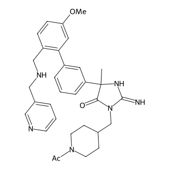 COc1ccc(CNCc2cccnc2)c(-c2cccc(C3(C)NC(=N)N(CC4CCN(C(C)=O)CC4)C3=O)c2)c1